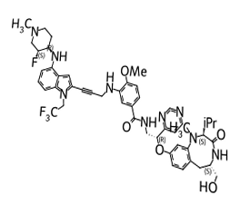 COc1ccc(C(=O)NC[C@@H](Oc2ccc3c(c2)N(C)[C@@H](C(C)C)C(=O)N[C@H](CO)C3)c2ccncn2)cc1NCC#Cc1cc2c(N[C@@H]3CCN(C)C[C@@H]3F)cccc2n1CC(F)(F)F